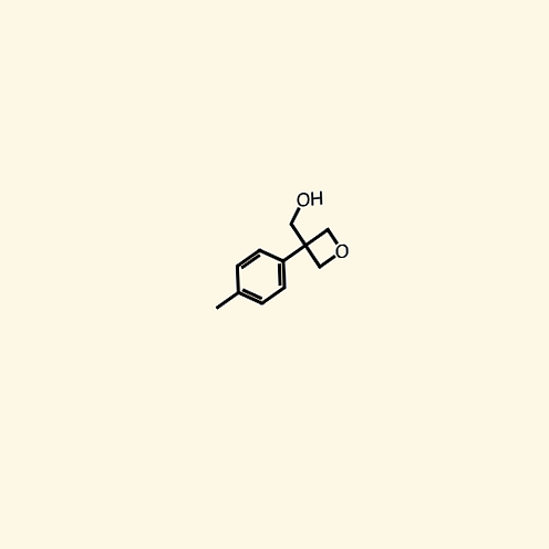 Cc1ccc(C2(CO)COC2)cc1